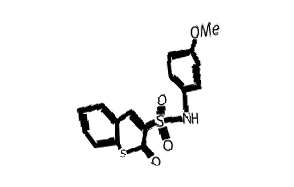 COc1ccc(NS(=O)(=O)c2cc3ccccc3sc2=O)cc1